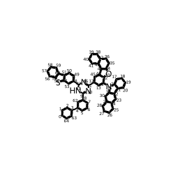 c1ccc(-c2cccc(C3=NC(c4cc(-n5c6ccccc6c6cc7ccccc7cc65)c5oc6ccc7ccccc7c6c5c4)=NC(c4ccc5c(c4)sc4ccccc45)N3)c2)cc1